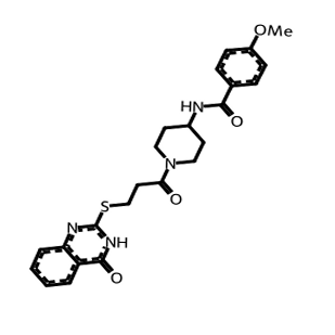 COc1ccc(C(=O)NC2CCN(C(=O)CCSc3nc4ccccc4c(=O)[nH]3)CC2)cc1